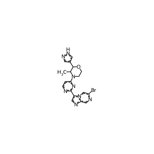 CC1C(c2cn[nH]c2)OCCN1c1ccnc(-c2cnc3cnc(Br)cn23)n1